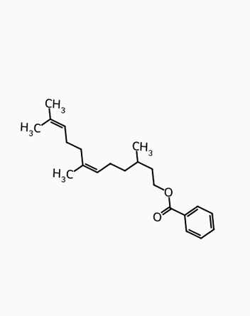 CC(C)=CCCC(C)=CCCC(C)CCOC(=O)c1ccccc1